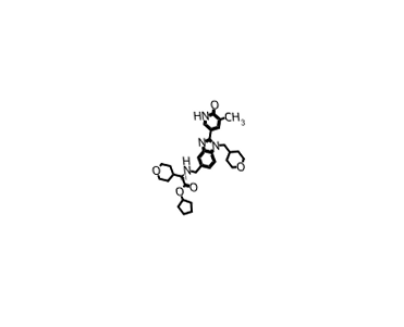 Cc1cc(-c2nc3cc(CN[C@H](C(=O)OC4CCCC4)C4CCOCC4)ccc3n2CC2CCOCC2)c[nH]c1=O